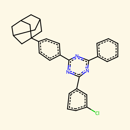 Clc1cccc(-c2nc(-c3ccccc3)nc(-c3ccc(C45CC6CC(CC(C6)C4)C5)cc3)n2)c1